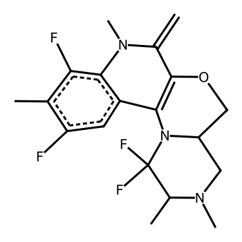 C=C1C2=C(c3cc(F)c(C)c(F)c3N1C)N1C(CO2)CN(C)C(C)C1(F)F